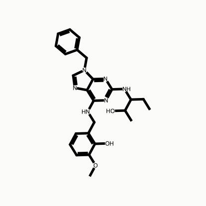 CCC(Nc1nc(NCc2cccc(OC)c2O)c2ncn(Cc3ccccc3)c2n1)C(C)O